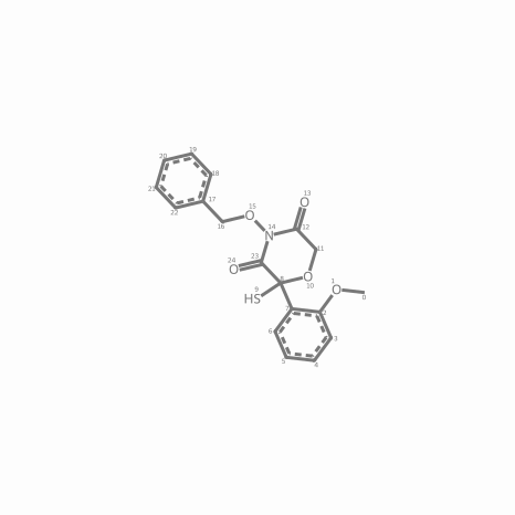 COc1ccccc1C1(S)OCC(=O)N(OCc2ccccc2)C1=O